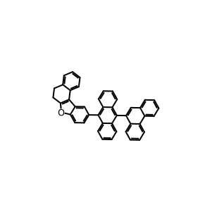 c1ccc2c(c1)CCc1oc3ccc(-c4c5ccccc5c(-c5cc6ccccc6c6ccccc56)c5ccccc45)cc3c1-2